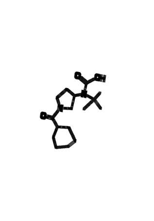 CC(C)(C)N(C(=O)O)C1CCN(C(=O)C2CCCCC2)C1